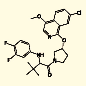 COc1cnc(O[C@@H]2CCN(C(=O)C(Nc3ccc(F)c(F)c3)C(C)(C)C)C2)c2cc(Cl)ccc12